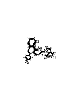 COc1ccc(C=Cc2ccccc2-c2cccc(-n3ncc(C(=O)O)c3C(F)(F)F)n2)cc1